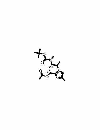 CC(=O)O[C@H](C[C@H](C(C)C)N(C)C(=O)OC(C)(C)C)c1nc(C)cs1